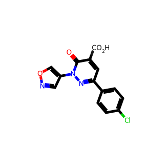 O=C(O)c1cc(-c2ccc(Cl)cc2)nn(-c2cnoc2)c1=O